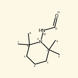 CC1(C)CCCC(C)(C)N1N[C]=O